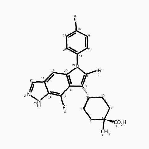 CC(C)c1c([C@H]2CC[C@](C)(C(=O)O)CC2)c2c(F)c3[nH]ncc3cc2n1-c1ccc(F)cc1